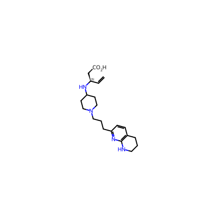 C=C[C@H](CC(=O)O)NC1CCN(CCCc2ccc3c(n2)NCCC3)CC1